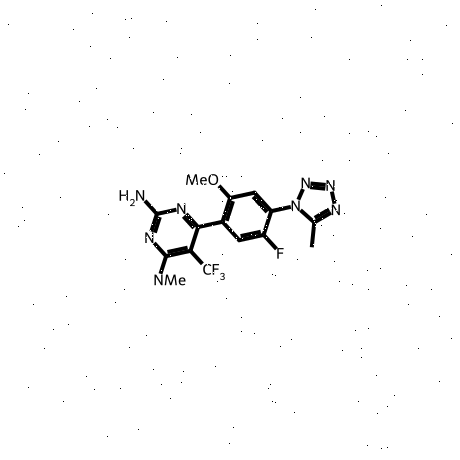 CNc1nc(N)nc(-c2cc(F)c(-n3nnnc3C)cc2OC)c1C(F)(F)F